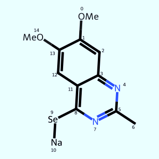 COc1cc2nc(C)nc([Se][Na])c2cc1OC